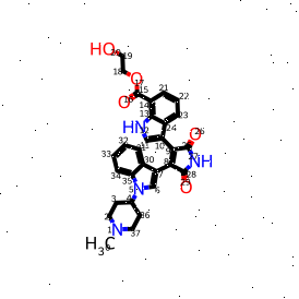 CN1CCC(n2cc(C3=C(c4c[nH]c5c(C(=O)OCCO)cccc45)C(=O)NC3=O)c3ccccc32)CC1